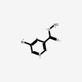 O=NOC(=O)c1cncc(Br)c1